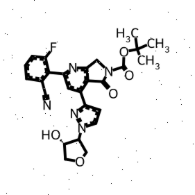 CC(C)(C)OC(=O)N1Cc2nc(-c3c(F)cccc3C#N)cc(-c3ccn(C4COC[C@@H]4O)n3)c2C1=O